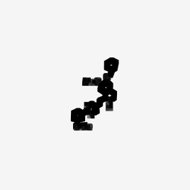 COc1cccc(-c2ncc(/C=C/C3NCCc4cc(OCc5ccccc5)c(OC)cc43)cn2)c1